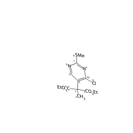 CCOC(=O)C(C)(C(=O)OCC)c1cnc(SC)nc1Cl